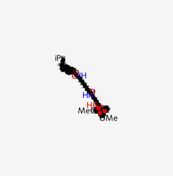 COc1ccc(C(OCCC(O)CCCCCNC(=O)CCCCCCCCCCCNC(=O)O[C@@H]2CC[C@]3(C)C(=CCC4C5CCC(C(C)CCCC(C)C)[C@]5(C)CCC43)C2)(c2ccccc2)c2ccc(OC)cc2)cc1